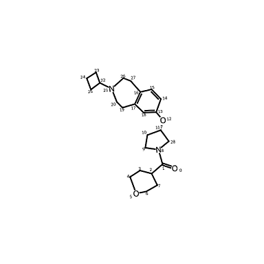 O=C(C1CCOCC1)N1CC[C@H](Oc2ccc3c(c2)CCN(C2CCC2)CC3)C1